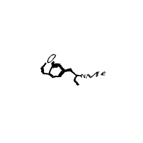 C=CC(Cc1ccc2ccoc2c1)NC